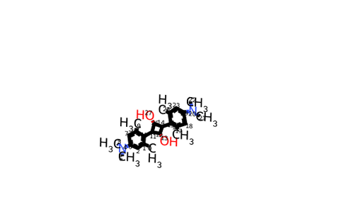 Cc1cc(N(C)C)cc(C)c1C1C(O)C(c2c(C)cc(N(C)C)cc2C)C1O